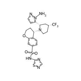 Nn1nccc1[C@@H]1C[C@H](C(F)(F)F)CCN1[C@H]1CCOc2cc(S(=O)(=O)Nc3ncns3)ccc21